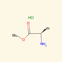 CC(C)[C@@H](N)C(=O)OC(C)(C)C.Cl